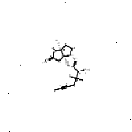 CC#CCC(C)(C)[C@H](O)C=C[C@H]1CC[C@@H]2OC(=O)C[C@@H]21